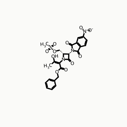 CC(O)=C(C(=O)OCc1ccccc1)N1C(=O)[C@@H](N2C(=O)c3ccc([N+](=O)[O-])cc3C2=O)[C@H]1COS(C)(=O)=O